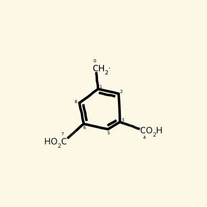 [CH2]c1cc(C(=O)O)cc(C(=O)O)c1